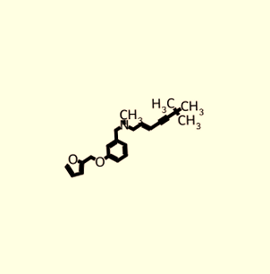 CN(C/C=C/C#CC(C)(C)C)Cc1cccc(OCc2ccco2)c1